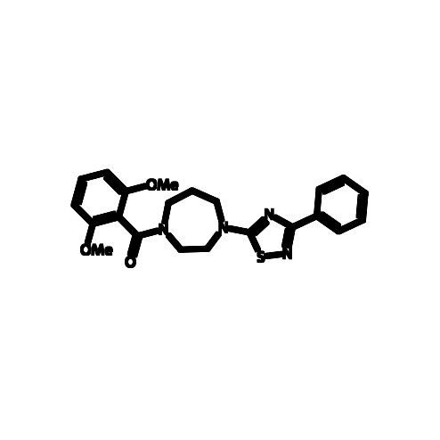 COc1cccc(OC)c1C(=O)N1CCCN(c2nc(-c3ccccc3)ns2)CC1